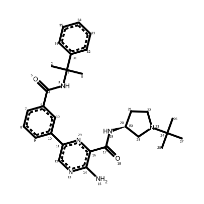 CC(C)(NC(=O)c1cccc(-c2cnc(N)c(C(=O)N[C@H]3CCN(C(C)(C)C)C3)n2)c1)c1ccccc1